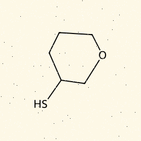 SC1CCCOC1